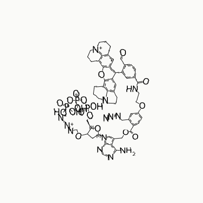 [N-]=[N+]=NCOC1C[C@H](n2cc(COC(=O)c3ccc(OCCNC(=O)c4ccc(C=O)c(C5=c6cc7c8c(c6Oc6c5cc5c9c6CCCN9CCC5)CCC[N+]=8CCC7)c4)cc3CN=[N+]=[N-])c3c(N)ncnc32)O[C@@H]1COP(=O)(O)OP(=O)(O)OP(=O)(O)O